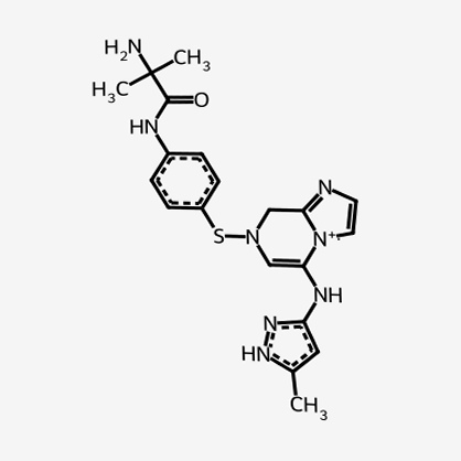 Cc1cc(NC2=CN(Sc3ccc(NC(=O)C(C)(C)N)cc3)CC3=NC=C[N+]23)n[nH]1